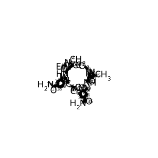 CCn1nc(C)c2c1C(=O)Nc1nc3cc(C(N)=O)ccc3n1CC[C@H](C)Cn1c(nc3cc(C(N)=O)ccc31)NC(=O)c1cc(C)nn1CCCCC2